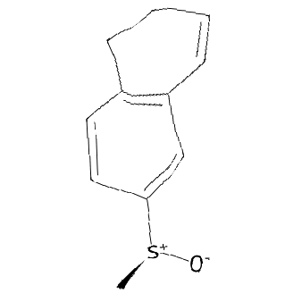 C[S@+]([O-])c1ccc2c(c1)C=CCC2